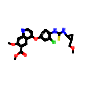 COCC1CC1NC(=S)Nc1ccc(Oc2ccnc3cc(OC)c(C(=O)OC)cc23)cc1Cl